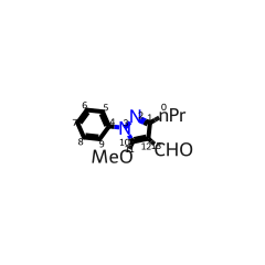 CCCc1nn(-c2ccccc2)c(OC)c1C=O